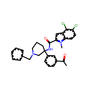 CC(=O)c1cccc(C2(NC(=O)c3cc4c(Cl)c(Cl)ccc4n3C)CCCN(Cc3ccccc3)C2)c1